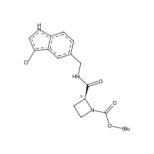 CC(C)(C)OC(=O)N1CC[C@H]1C(=O)NCc1ccc2[nH]cc(Cl)c2c1